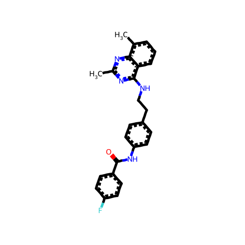 Cc1nc(NCCc2ccc(NC(=O)c3ccc(F)cc3)cc2)c2cccc(C)c2n1